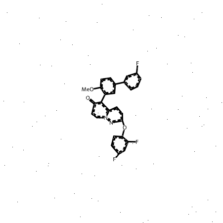 COc1ccc(-c2cccc(F)c2)cc1-c1c(=O)ccn2nc(Oc3ccc(F)cc3F)ccc12